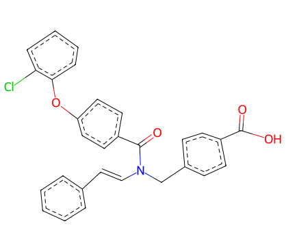 O=C(O)c1ccc(CN(C=Cc2ccccc2)C(=O)c2ccc(Oc3ccccc3Cl)cc2)cc1